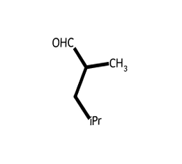 CC(C)CC(C)C=O